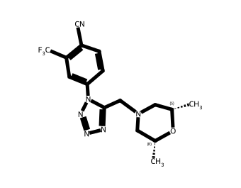 C[C@@H]1CN(Cc2nnnn2-c2ccc(C#N)c(C(F)(F)F)c2)C[C@H](C)O1